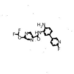 Nc1ccc(-c2ccc(F)nc2)cc1NC(=O)c1cnc(OC(F)F)cn1